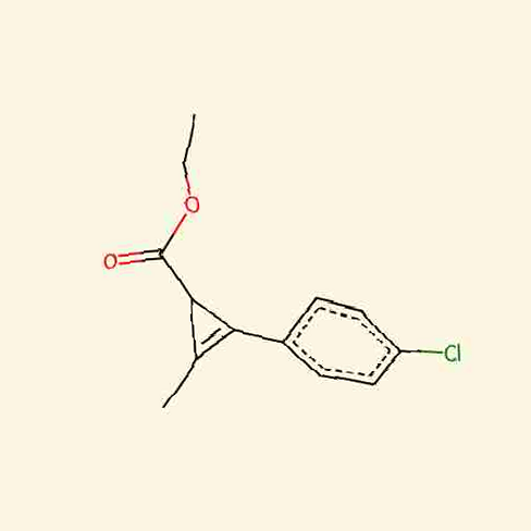 CCOC(=O)C1C(C)=C1c1ccc(Cl)cc1